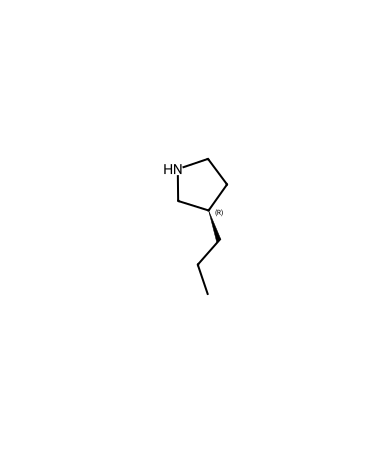 CCC[C@@H]1CCNC1